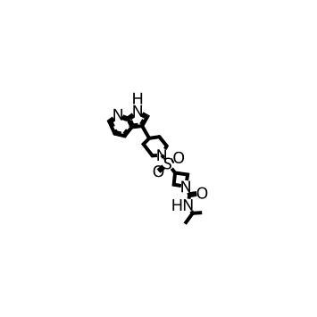 CC(C)NC(=O)N1CC(S(=O)(=O)N2CCC(c3c[nH]c4ncccc34)CC2)C1